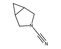 N#CN1CC2CC2C1